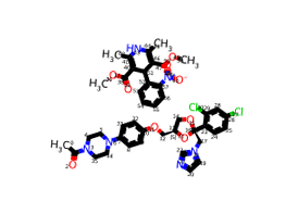 CC(=O)N1CCN(c2ccc(OC[C@H]3CO[C@](Cn4ccnc4)(c4ccc(Cl)cc4Cl)O3)cc2)CC1.COC(=O)C1=C(C)NC(C)=C(C(=O)OC)C1c1ccccc1[N+](=O)[O-]